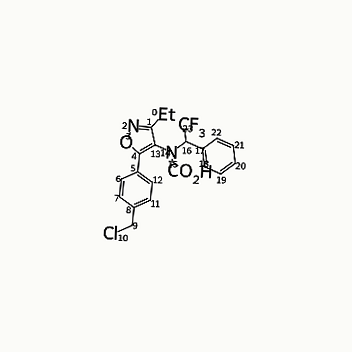 CCc1noc(-c2ccc(CCl)cc2)c1N(C(=O)O)C(c1ccccc1)C(F)(F)F